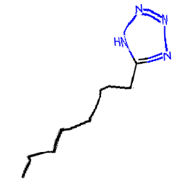 CCCCCC[CH]c1nnn[nH]1